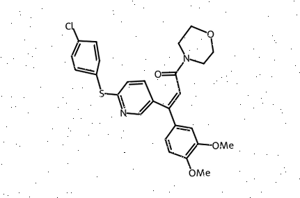 COc1ccc(C(=CC(=O)N2CCOCC2)c2ccc(Sc3ccc(Cl)cc3)nc2)cc1OC